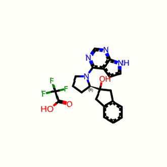 O=C(O)C(F)(F)F.OC1([C@H]2CCCN2c2ncnc3[nH]ccc23)Cc2ccccc2C1